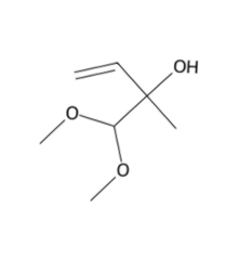 C=CC(C)(O)C(OC)OC